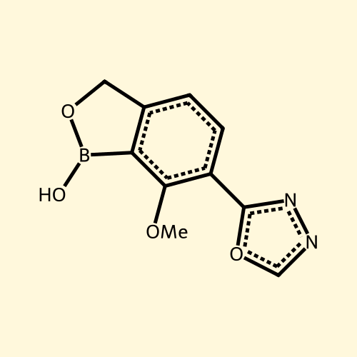 COc1c(-c2nnco2)ccc2c1B(O)OC2